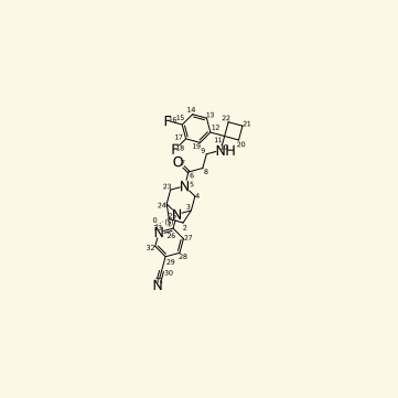 C[C@H]1CC2CN(C(=O)CCNC3(c4ccc(F)c(F)c4)CCC3)CC1N2c1ccc(C#N)cn1